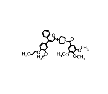 CCCOc1ccc(/C(=C/C(=O)N2CCN(C(=O)c3cc(OC)c(OC)c(OC)c3)CC2)c2ccccc2)cc1OC